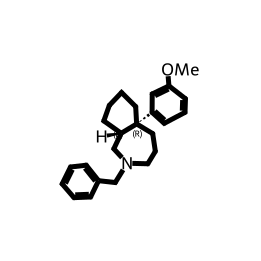 COc1cccc([C@@]23CCCC[C@H]2CN(Cc2ccccc2)CCC3)c1